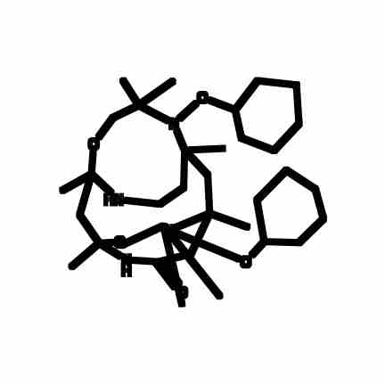 CC12CC3(C)NC(=O)CC(C)(CC(C)(CCN1)N(OC1CCCCC1)C(C)(C)CO2)N(OC1CCCCC1)C(C)(C)CO3